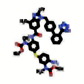 CCCc1nc2c(C)cc(C(=O)Nc3ccc(Sc4ccc(N)c(N(C)C(=O)OC(C)(C)C)c4)cc3N(C)C(=O)OC(C)(C)C)cc2n1Cc1ccc(-c2ccccc2-c2nnn[nH]2)cc1